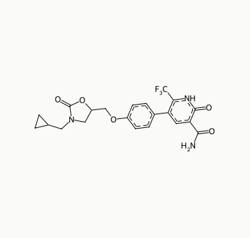 NC(=O)c1cc(-c2ccc(OCC3CN(CC4CC4)C(=O)O3)cc2)c(C(F)(F)F)[nH]c1=O